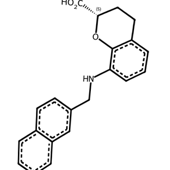 O=C(O)[C@@H]1CCc2cccc(NCc3ccc4ccncc4c3)c2O1